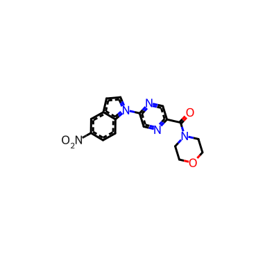 O=C(c1cnc(-n2ccc3cc([N+](=O)[O-])ccc32)cn1)N1CCOCC1